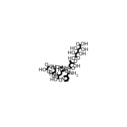 C=C(CC(=O)O)C(=O)O.NC(=O)c1cccnc1.NC(Cc1c[nH]cn1)C(=O)O.O=C(O)C(=O)O.O=C(O)CC(=O)O.O=C(O)[C@@H](O)[C@@H](O)[C@H](O)[C@@H](O)C(=O)O